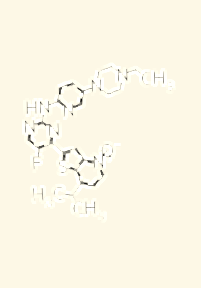 CCN1CCN(c2ccc(Nc3ncc(F)c(-c4cc5c(s4)c(C(C)C)cc[n+]5[O-])n3)nc2)CC1